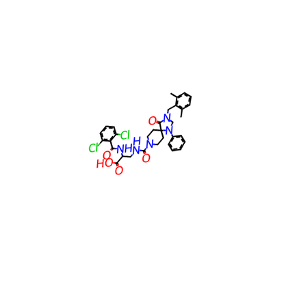 Cc1cccc(C)c1CN1CN(c2ccccc2)C2(CCN(C(=O)NCC(NC(=O)c3c(Cl)cccc3Cl)C(=O)O)CC2)C1=O